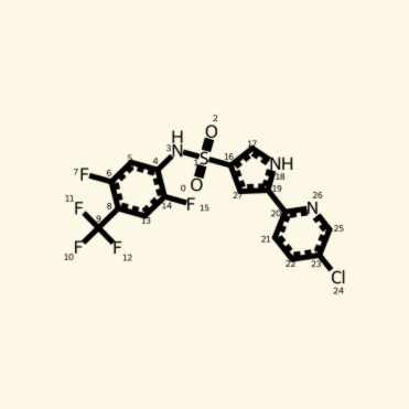 O=S(=O)(Nc1cc(F)c(C(F)(F)F)cc1F)c1c[nH]c(-c2ccc(Cl)cn2)c1